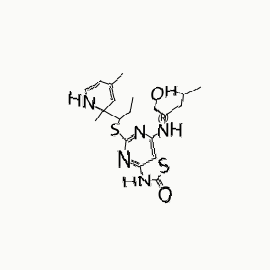 CCC(Sc1nc(N[C@@H](CO)CC(C)C)c2sc(=O)[nH]c2n1)C1(C)C=C(C)C=CN1